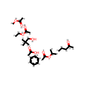 CC(=O)O.CC(=O)OC(C)C.CC(C)(C)CO.CCCC(C)=O.CCOC(C)=O.COC(C)=O.c1ccccc1